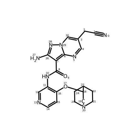 N#CCc1cnc2c(C(=O)Nc3cnccc3OC3CN4CCC3CC4)c(N)nn2c1